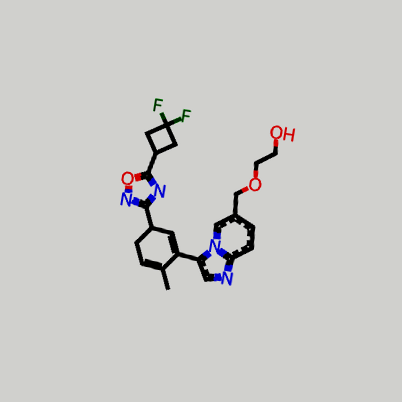 CC1=CCC(c2noc(C3CC(F)(F)C3)n2)C=C1c1cnc2ccc(COCCO)cn12